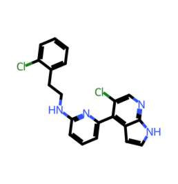 Clc1ccccc1CCNc1cccc(-c2c(Cl)cnc3[nH]ccc23)n1